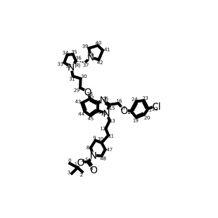 CC(C)(C)OC(=O)N1CCC(CCCn2c(COc3ccc(Cl)cc3)nc3c(OCCCN4CCC[C@@H]4CN4CCCC4)cccc32)CC1